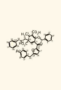 CC1C(C(=O)O)=C(OCc2ccccc2)C(C(=O)c2ccc(Cc3ccc(F)cc3)o2)=CC1(COCc1ccccc1)C(=O)O